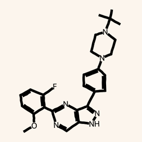 COc1cccc(F)c1-c1ncc2[nH]nc(-c3ccc(N4CCN(C(C)(C)C)CC4)cc3)c2n1